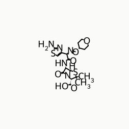 CC1(C)S[C@@H]2[C@@H](NC(=O)/C(=N\OC3CCOCC3)c3csc(N)n3)C(=O)N2[C@H]1C(=O)O